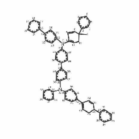 CC1(c2ccccc2)C=CC(N(c2ccc(-c3ccccc3)cc2)c2ccc(-c3ccc(N(c4ccccc4)c4ccc(C5=CCC(c6ccccc6)C=C5)cc4)cc3)cc2)=CC1